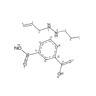 C=CCNNCCC.O=C(O)c1cccc(C(=O)O)c1